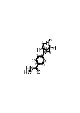 CN1C[C@H]2C[C@@H]1CN2c1ccc(C(=O)NO)cn1